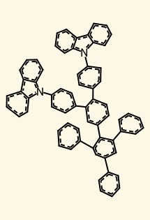 c1ccc(-c2cc(-c3ccccc3)c(-c3ccc(-c4ccc(-n5c6ccccc6c6ccccc65)cc4)c(-c4ccc(-n5c6ccccc6c6ccccc65)cc4)c3)c(-c3ccccc3)c2)cc1